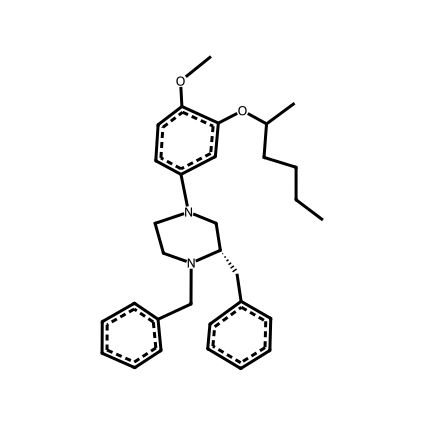 CCCCC(C)Oc1cc(N2CCN(Cc3ccccc3)[C@@H](Cc3ccccc3)C2)ccc1OC